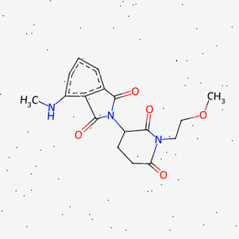 CNc1cccc2c1C(=O)N(C1CCC(=O)N(CCOC)C1=O)C2=O